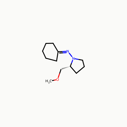 COC[C@H]1CCCN1N=C1CCCCC1